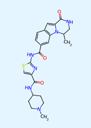 CC1CNC(=O)c2cc3ccc(C(=O)Nc4nc(C(=O)NC5CCN(C)CC5)cs4)cc3n21